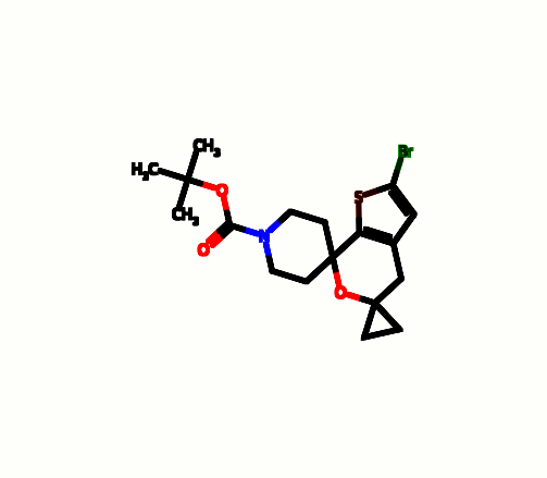 CC(C)(C)OC(=O)N1CCC2(CC1)OC1(CC1)Cc1cc(Br)sc12